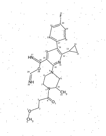 COCCC(=O)N1CCN(c2nc(C3CC3)c(-c3ccc(F)cc3)cc2C(=N)OC=N)CC1C